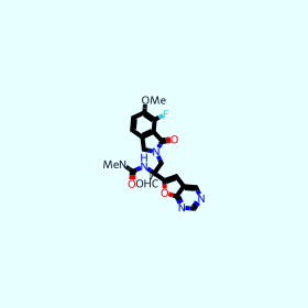 CNC(=O)N[C@@](C=O)(CN1Cc2ccc(OC)c(F)c2C1=O)c1cc2cncnc2o1